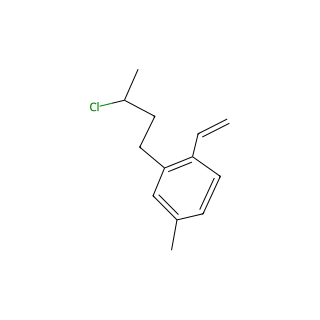 C=Cc1ccc(C)cc1CCC(C)Cl